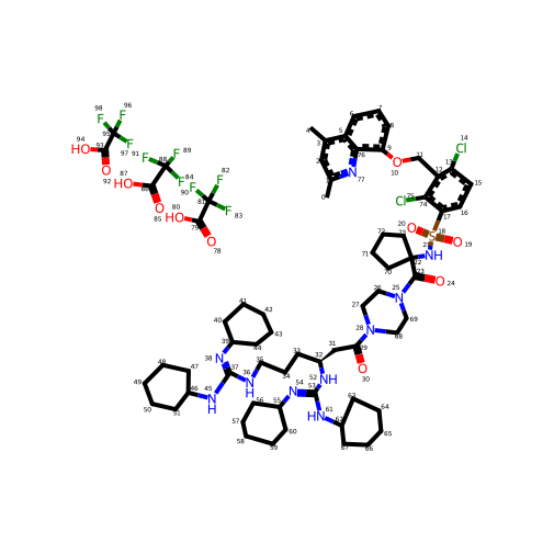 Cc1cc(C)c2cccc(OCc3c(Cl)ccc(S(=O)(=O)NC4(C(=O)N5CCN(C(=O)C[C@H](CCCNC(=NC6CCCCC6)NC6CCCCC6)NC(=NC6CCCCC6)NC6CCCCC6)CC5)CCCC4)c3Cl)c2n1.O=C(O)C(F)(F)F.O=C(O)C(F)(F)F.O=C(O)C(F)(F)F